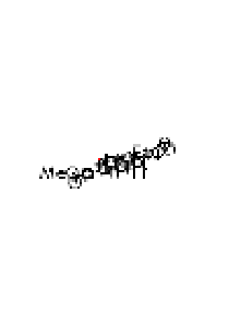 C=C(C)C[C@@H]1[C@H]2CC[C@@H]3[C@@]4(C)CC=C(c5ccc(C(=O)OC)cc5)C(C)(C)[C@@H]4CC[C@@]3(C)[C@]2(C)CC[C@]1(CC)NCCN1CCS(=O)(=O)CC1